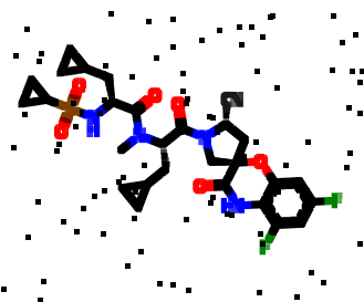 CN(C(=O)[C@H](CC1CC1)NS(=O)(=O)C1CC1)[C@@H](CC1CC1)C(=O)N1C[C@@]2(C[C@H]1C#N)Oc1cc(F)cc(F)c1NC2=O